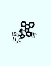 CC1=CC[C]([Zr+2]2([CH]3C4C=CC=CC4C4C5C=CC=CC5C5C=CC=CC5C43)[CH2][CH2]2)=C1C(C)(C)C.[Cl-].[Cl-]